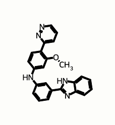 COc1cc(Nc2cccc(-c3nc4ccccc4[nH]3)c2)ccc1-c1cccnn1